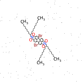 CCCCCCCCCCCCC(CCCCCCCCCC)CN1C(=O)c2ccc3c4c(Br)cc5c6c(ccc(c7c(Br)cc(c2c37)C1=O)c64)C(=O)N(CC(CCCCCCCCCC)CCCCCCCCCCCC)C5=O